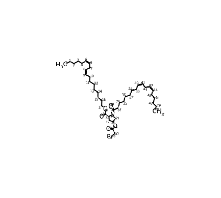 CCCCC/C=C\C/C=C\CCCCCCCCOC(=O)[C@@H]1C[C@@H](OC(=O)CBr)CN1C(=O)CCCCCCC/C=C\C/C=C\CCCCC